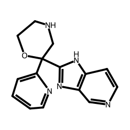 c1ccc(C2(c3nc4cnccc4[nH]3)CNCCO2)nc1